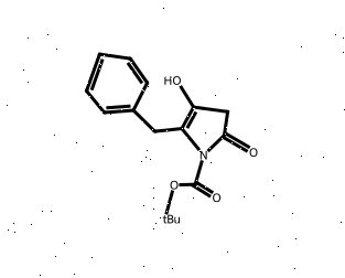 CC(C)(C)OC(=O)N1C(=O)CC(O)=C1Cc1ccccc1